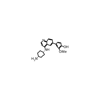 COc1cc(-c2ccc3nc[c]c(N[C@H]4CC[C@@H](N)CC4)c3c2)ccc1O